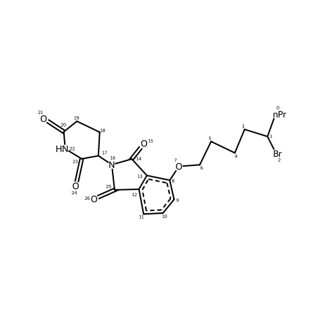 CCCC(Br)CCCCOc1cccc2c1C(=O)N(C1CCC(=O)NC1=O)C2=O